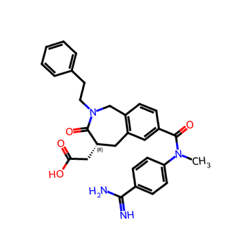 CN(C(=O)c1ccc2c(c1)C[C@H](CC(=O)O)C(=O)N(CCc1ccccc1)C2)c1ccc(C(=N)N)cc1